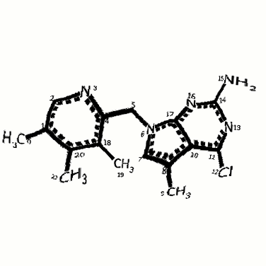 Cc1cnc(Cn2cc(C)c3c(Cl)nc(N)nc32)c(C)c1C